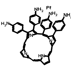 Nc1ccc(C2=Cc3cc4ccc(cc5nc(cc6[nH]c(c(-c7ccc(N)cc7)c2n3)c(-c2ccc(N)cc2)c6-c2ccc(N)cc2)C=C5)[nH]4)cc1.[Pt]